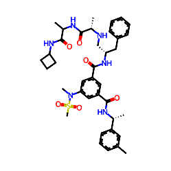 Cc1cccc([C@@H](C)NC(=O)c2cc(C(=O)N[C@H](CN[C@@H](C)C(=O)NC(C)C(=O)NC3CCC3)Cc3ccccc3)cc(N(C)S(C)(=O)=O)c2)c1